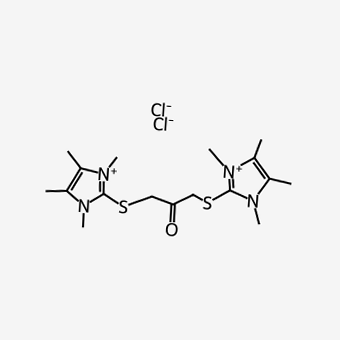 Cc1c(C)[n+](C)c(SCC(=O)CSc2n(C)c(C)c(C)[n+]2C)n1C.[Cl-].[Cl-]